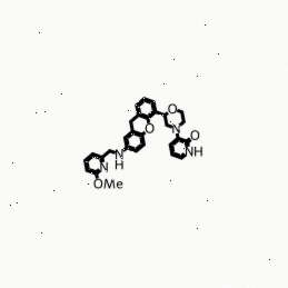 COc1cccc(CNc2ccc3c(c2)Cc2cccc(C4CN(c5ccc[nH]c5=O)CCO4)c2O3)n1